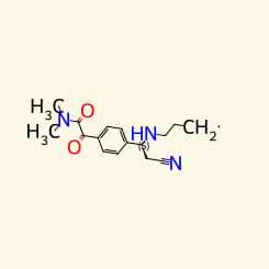 [CH2]CCN[C@@H](CC#N)c1ccc(C(=O)C(=O)N(C)C)cc1